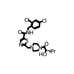 CC(C)[C@@H](O)C(=O)N1CCN(Cc2ncc(C(=O)NCc3ccc(Cl)cc3Cl)s2)CC1